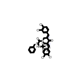 CC(C)(C)N[C@H](Cc1ccccc1)C(=O)N1C/C(=C\c2ccc(Cl)c(Cl)c2)C(=O)/C(=C/c2ccc(Cl)c(Cl)c2)C1